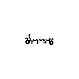 O=C(CCc1nc(-c2c[nH]c3ccccc23)no1)NCCCNc1n[nH]c(=O)c2ccccc12